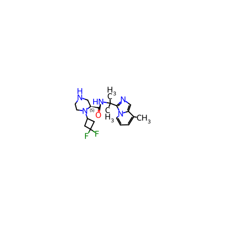 Cc1cccn2c(C(C)(C)NC(=O)[C@@H]3CNCCN3C3CC(F)(F)C3)ncc12